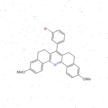 COc1ccc2c(c1)CCc1c-2nc2c(c1-c1cccc(Br)c1)CCc1cc(OC)ccc1-2